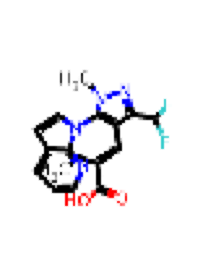 CCC(=Cc1c(C(F)F)nn(C)c1-n1ccc2cccnc21)C(=O)O